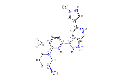 CCn1cc(-c2cc3c(-c4ccc(C5CC5)c(N5CCC[C@H](N)C5)n4)n[nH]c3cn2)cn1